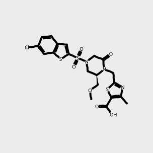 COC[C@H]1CN(S(=O)(=O)c2cc3ccc(Cl)cc3s2)CC(=O)N1Cc1nc(C)c(C(=O)O)s1